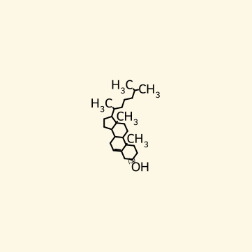 CC(C)CCCC(C)C1CCC2C3CC=C4C[C@@H](O)CCC4(C)C3CCC12C